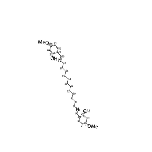 COc1ccc(/C=N/CCCCCCCCCCCC/N=C/c2ccc(OC)cc2O)c(O)c1